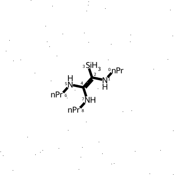 CCCNC([SiH3])=C(NCCC)NCCC